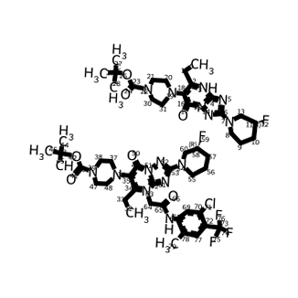 CCc1[nH]c2nc(N3CCC[C@@H](F)C3)nn2c(=O)c1N1CCN(C(=O)OC(C)(C)C)CC1.CCc1c(N2CCN(C(=O)OC(C)(C)C)CC2)c(=O)n2nc(N3CCC[C@@H](F)C3)nc2n1CC(=O)Nc1cc(Cl)c(C(F)(F)F)cc1C